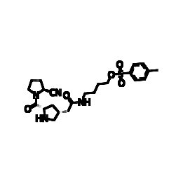 Cc1ccc(S(=O)(=O)OCCCCNC(=O)C[C@@H]2CN[C@H](C(=O)N3CCC[C@H]3C#N)C2)cc1